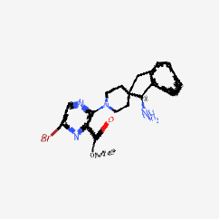 COC(=O)c1nc(Br)cnc1N1CCC2(CC1)Cc1ccccc1[C@H]2N